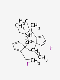 CCC1=CC=C[C]1(CC)[Zr+2]([SiH](CC)CC)[C]1(CC)C=CC=C1CC.[I-].[I-]